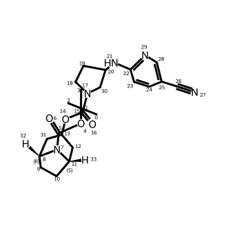 CC(C)(C)OC(=O)N1[C@@H]2CC[C@H]1CC(OC(=O)N1CCC(Nc3ccc(C#N)cn3)C1)C2